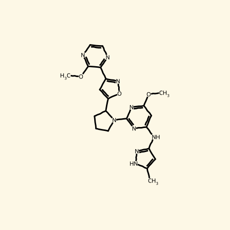 COc1cc(Nc2cc(C)[nH]n2)nc(N2CCCC2c2cc(-c3nccnc3OC)no2)n1